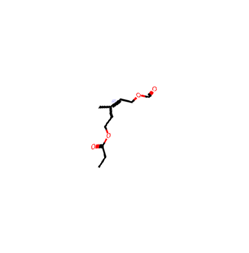 CCC(=O)OCC/C(C)=C\COC=O